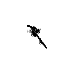 CC#CCOc1ccc(C[C@H](NC(=O)[C@H]2C(CCCCCCCC(=O)CCCCCCC)N(C)C(=O)[C@@]2(O)CC(=O)O)C(=O)NC)cc1